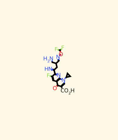 N=C(CC(C=NOC(F)F)CN)c1nc2c(cc1F)c(=O)c(C(=O)O)cn2C1CC1